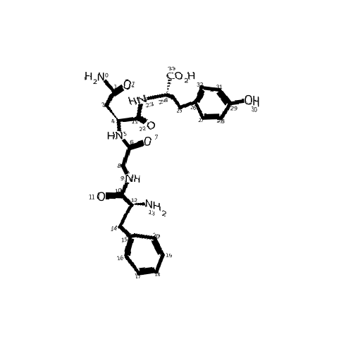 NC(=O)C[C@H](NC(=O)CNC(=O)[C@@H](N)Cc1ccccc1)C(=O)N[C@@H](Cc1ccc(O)cc1)C(=O)O